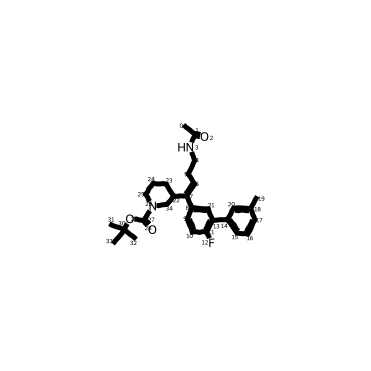 CC(=O)NCCC=C(c1ccc(F)c(-c2cccc(C)c2)c1)C1CCCN(C(=O)OC(C)(C)C)C1